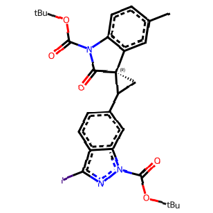 Cc1ccc2c(c1)[C@]1(CC1c1ccc3c(I)nn(C(=O)OC(C)(C)C)c3c1)C(=O)N2C(=O)OC(C)(C)C